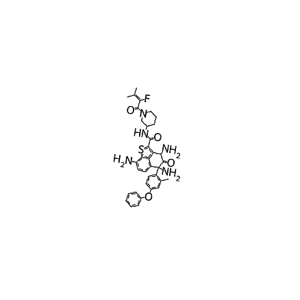 CC(C)=C(F)C(=O)N1CCCC(NC(=O)c2sc3c(N)ccc4c3c2C(N)C(=O)C4(N)c2ccc(Oc3ccccc3)cc2C)C1